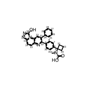 CN(C(=O)O)C1(c2ccc(-c3nc4ccc5nnc(O)n5c4cc3-c3ccccc3)cc2)CCC1